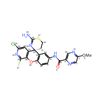 COc1cnc(C(=O)Nc2ccc3c(c2)[C@@]2(CCSC(N)=N2)c2cc(Cl)nc(F)c2O3)cn1